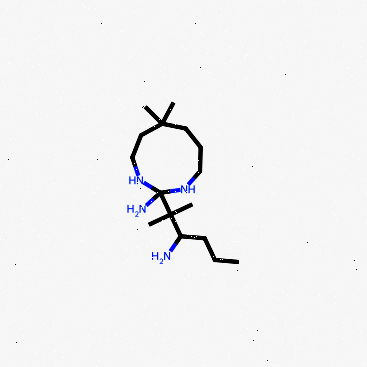 CCCC(N)C(C)(C)C1(N)NCCCC(C)(C)CCN1